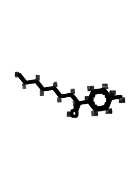 CCCCCCCC(=O)c1ccc(C)cc1